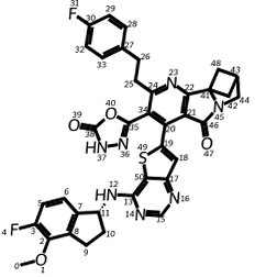 COc1c(F)ccc2c1CC[C@H]2Nc1ncnc2cc(-c3c4c(nc(CCc5ccc(F)cc5)c3-c3n[nH]c(=O)o3)C35CC(CN3C4=O)C5)sc12